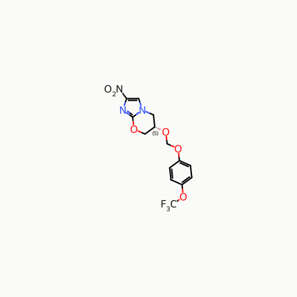 O=[N+]([O-])c1cn2c(n1)OC[C@@H](OCOc1ccc(OC(F)(F)F)cc1)C2